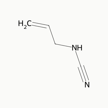 C=CCNC#N